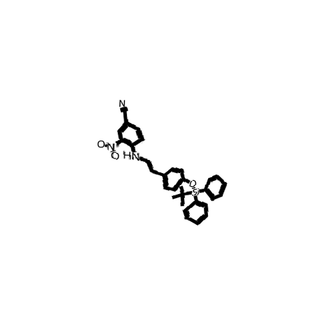 CC(C)(C)[Si](Oc1ccc(CCNc2ccc(C#N)cc2[N+](=O)[O-])cc1)(c1ccccc1)c1ccccc1